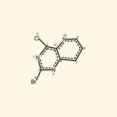 Clc1nc(Br)nc2cccnc12